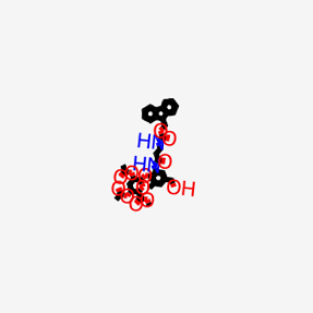 COC(=O)C1OC(Oc2c(C)cc(CO)cc2NC(=O)CCNC(=O)OCC2c3ccccc3-c3ccccc32)C(OC(C)=O)CC1OC(C)=O